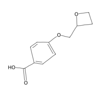 O=C(O)c1ccc(OCC2CCO2)cc1